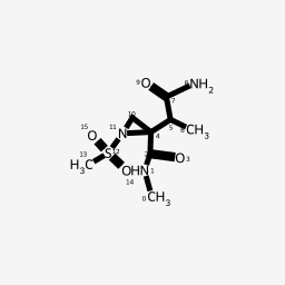 CNC(=O)C1(C(C)C(N)=O)CN1S(C)(=O)=O